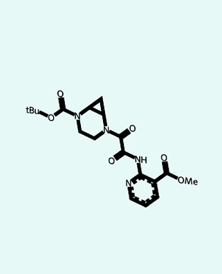 COC(=O)c1cccnc1NC(=O)C(=O)N1CCN(C(=O)OC(C)(C)C)C2CC21